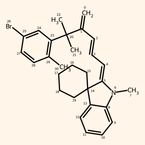 C=C(/C=C/C=C1/N(C)c2ccccc2C12CCCCC2)C(C)(C)c1cc(Br)ccc1C